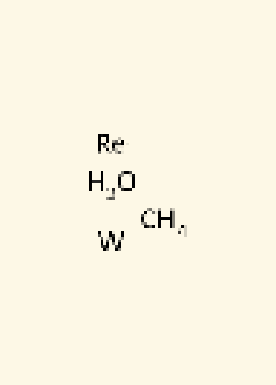 C.O.[Re].[W]